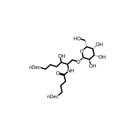 CCCCCCCCCCCCCC(=O)NC(CO[C@H]1O[C@H](CO)[C@H](O)[C@H](O)[C@H]1O)C(O)CCCCCCCCCCCCC